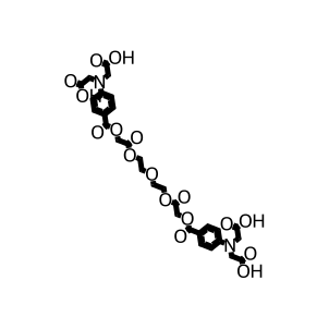 O=C(O)CN(CC(=O)O)c1ccc(C(=O)OCC(=O)OCCOCCOC(=O)COC(=O)c2ccc(N(CC(=O)O)CC(=O)O)cc2)cc1